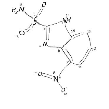 NS(=O)(=O)c1nc2c([N+](=O)[O-])cccc2[nH]1